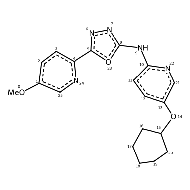 COc1ccc(-c2nnc(Nc3ccc(OC4CCCCC4)cn3)o2)nc1